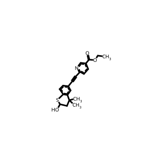 CCOC(=O)c1ccc(C#Cc2ccc3c(c2)C(C)(C)CC(O)S3)nc1